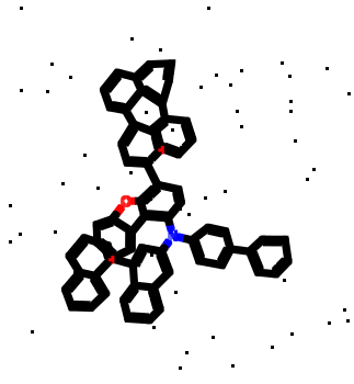 c1ccc(-c2ccc(N(c3cc(-c4cccc5ccccc45)c4ccccc4c3)c3ccc(-c4ccc(-c5cccc6cccc(-c7ccccc7)c56)cc4)c4oc5ccccc5c34)cc2)cc1